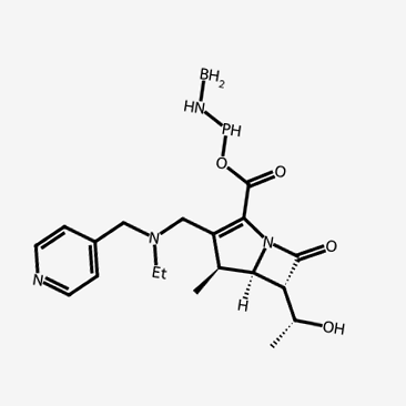 BNPOC(=O)C1=C(CN(CC)Cc2ccncc2)[C@H](C)[C@@H]2[C@@H]([C@@H](C)O)C(=O)N12